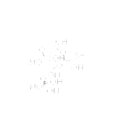 O=C(O)CC(O)(CC(=O)O)C(=O)O.O=P(O)(O)O.OC(=S)S